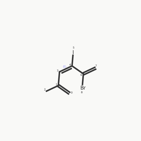 C=C(C)/C=C(/I)C(=C)Br